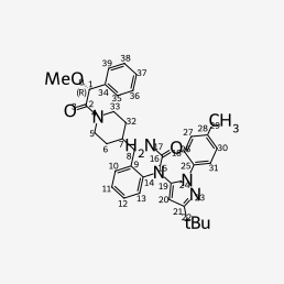 CO[C@@H](C(=O)N1CCC(Cc2ccccc2N(C(N)=O)c2cc(C(C)(C)C)nn2-c2ccc(C)cc2)CC1)c1ccccc1